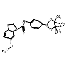 COc1ccc2c(c1)N(C(=O)Nc1ccc(N3OC(C)(C)C(C)(C)O3)cc1)CC2